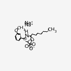 CCCCCCCC(=O)N[C@H](COP(=O)([O-])[O-])c1cccc(OC)c1.[Na+].[Na+]